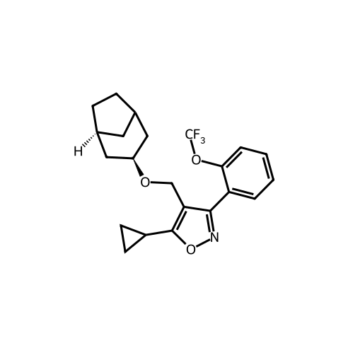 FC(F)(F)Oc1ccccc1-c1noc(C2CC2)c1CO[C@@H]1CC2CC[C@@H](C2)C1